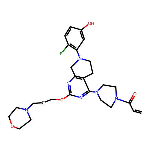 C=CC(=O)N1CCN(c2nc(OCCCN3CCOCC3)nc3c2CCN(c2cc(O)ccc2F)C3)CC1